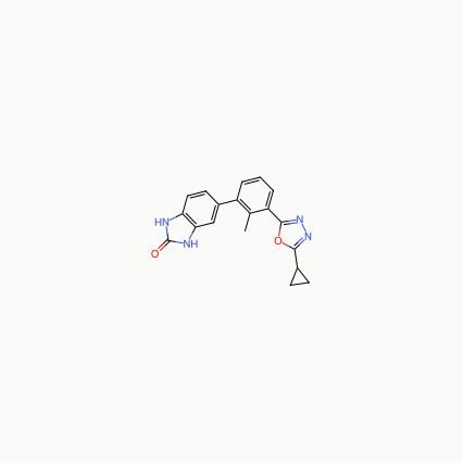 Cc1c(-c2ccc3[nH]c(=O)[nH]c3c2)cccc1-c1nnc(C2CC2)o1